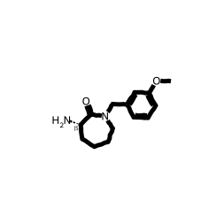 COc1cccc(CN2CCCC[C@H](N)C2=O)c1